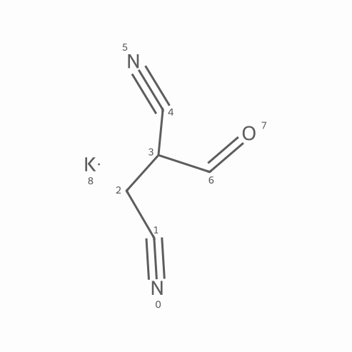 N#CCC(C#N)C=O.[K]